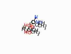 CC(C)(C)Nc1cc(B(O)OC(C)(C)C(C)(C)O)ccc1C#N